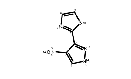 O=C(O)c1c[nH]nc1-c1nccs1